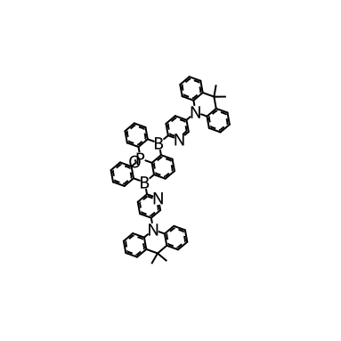 CC1(C)c2ccccc2N(c2ccc(B3c4ccccc4P4(=O)c5ccccc5B(c5ccc(N6c7ccccc7C(C)(C)c7ccccc76)cn5)c5cccc3c54)nc2)c2ccccc21